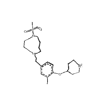 Cc1cc(CN2CCN(S(C)(=O)=O)CC2)ccc1OC1CCNCC1